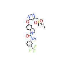 CS(=O)(=O)Cc1cc(Oc2ccc3c(ccn3C(=O)Nc3cccc(C(F)(F)F)c3)c2)ncn1